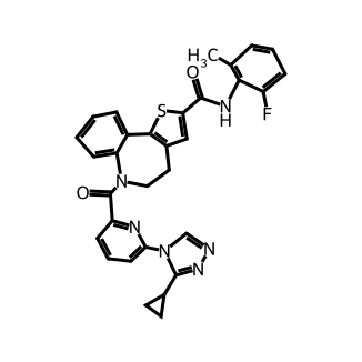 Cc1cccc(F)c1NC(=O)c1cc2c(s1)-c1ccccc1N(C(=O)c1cccc(-n3cnnc3C3CC3)n1)CC2